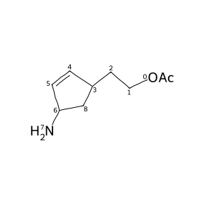 CC(=O)OCCC1C=CC(N)C1